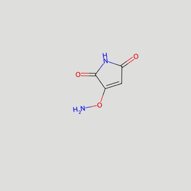 NOC1=CC(=O)NC1=O